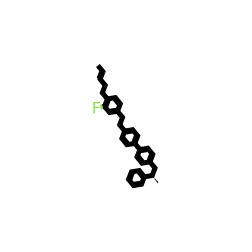 C/C=C/CCc1ccc(CCc2ccc(-c3ccc(C[C@H](C)c4ccccc4)cc3)cc2)cc1F